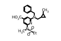 CCS(=O)(=O)N(C)c1cc(C(=O)O)cc(N(Cc2ccccc2)CC2CC2C)n1